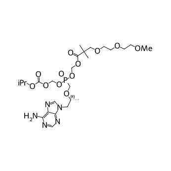 COCCOCCOCC(C)(C)C(=O)OCOP(=O)(CO[C@H](C)Cn1cnc2c(N)ncnc21)OCOC(=O)OC(C)C